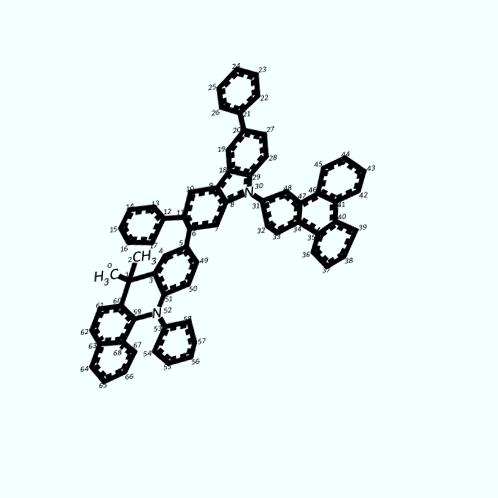 CC1(C)c2cc(-c3cc4c(cc3-c3ccccc3)c3cc(-c5ccccc5)ccc3n4-c3ccc4c5ccccc5c5ccccc5c4c3)ccc2N(c2ccccc2)c2c1ccc1ccccc21